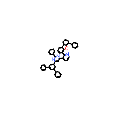 c1ccc(-c2cc(-c3ccccc3)cc(-c3cc(-c4cccnc4-c4cccc5c4oc4c(-c6ccccc6)cccc45)nc(-c4ccccc4)n3)c2)cc1